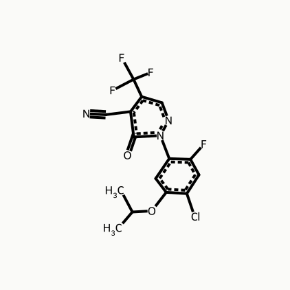 CC(C)Oc1cc(-n2ncc(C(F)(F)F)c(C#N)c2=O)c(F)cc1Cl